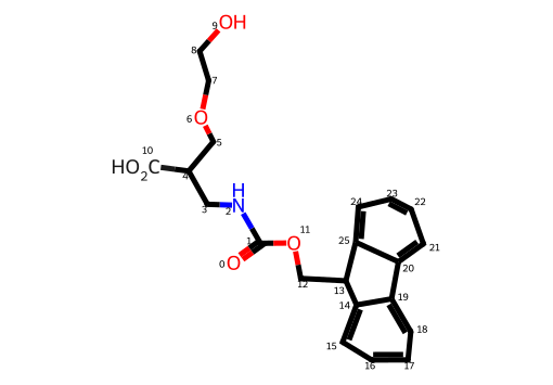 O=C(NCC(COCCO)C(=O)O)OCC1c2ccccc2-c2ccccc21